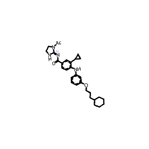 CC(=O)N1CCN/C1=N\C(=O)c1ccc(Nc2cccc(OCCCC3CCCCC3)c2)c(C2CC2)c1